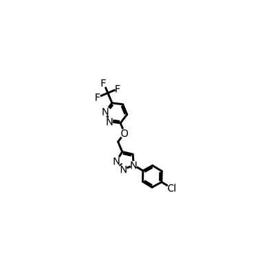 FC(F)(F)c1ccc(OCc2cn(-c3ccc(Cl)cc3)nn2)nn1